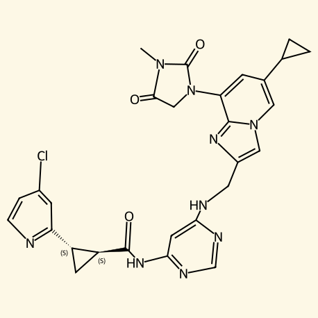 CN1C(=O)CN(c2cc(C3CC3)cn3cc(CNc4cc(NC(=O)[C@H]5C[C@@H]5c5cc(Cl)ccn5)ncn4)nc23)C1=O